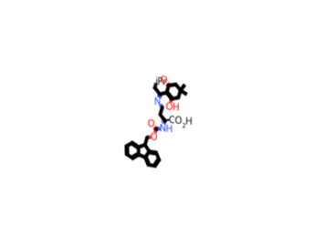 CC(C)CC(=NCC[C@H](NC(=O)OCC1c2ccccc2-c2ccccc21)C(=O)O)C1=C(O)CC(C)(C)CC1=O